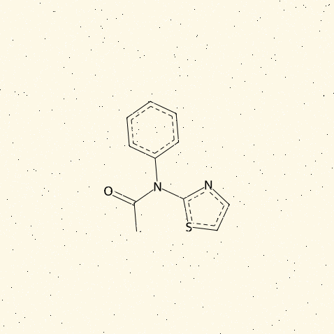 [CH2]C(=O)N(c1ccccc1)c1nccs1